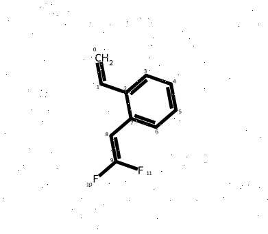 C=Cc1ccccc1C=C(F)F